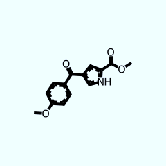 COC(=O)c1cc(C(=O)c2ccc(OC)cc2)c[nH]1